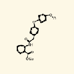 COC(=O)c1ccccc1NC(=O)Cc1ccc(Oc2ccc(OC(C)C)cc2)cc1